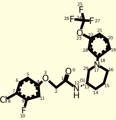 O=C(COc1ccc(Cl)c(F)c1)N[C@H]1CCCN(c2cccc(OC(F)(F)F)c2)C1